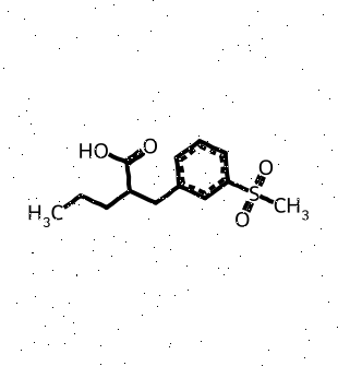 CCCC(Cc1cccc(S(C)(=O)=O)c1)C(=O)O